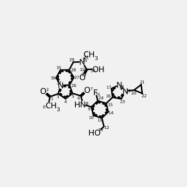 CC(=O)c1cc(C(=O)Nc2cc(CO)cc(-c3cnn(C4CC4)c3)c2F)c2cc(CN(C)C(=O)O)ccn12